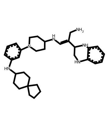 NC/C(=C\NC1CCN(c2cccc(NC3CCC4(CCCC4)CC3)c2)CC1)C1CNc2ccccc2N1